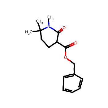 CN1C(=O)C(C(=O)OCc2ccccc2)CCC1(C)C